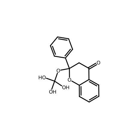 O=C1CC(OC(O)(O)O)(c2ccccc2)Oc2ccccc21